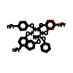 CCCc1ccc(ON2P(Oc3ccc(CCC)cc3)N=P(Oc3ccccc3)(Oc3ccccc3)N(Oc3ccccc3)P2Oc2ccc(CCC)cc2)cc1